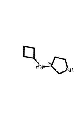 C1CC(N[C@H]2CCNC2)C1